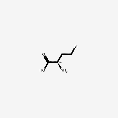 N[C@H](CCBr)C(=O)O